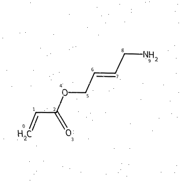 C=CC(=O)OCC=CCN